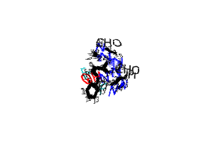 C/N=C(\c1cc(F)c(-c2c(O)cccc2F)nc1N(C=O)c1c(C(C)C)ncnc1C(C)C)N1CCN(C=O)CC1C